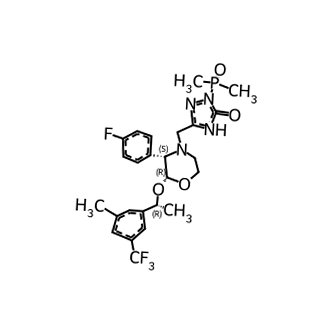 Cc1cc([C@@H](C)O[C@H]2OCCN(Cc3nn(P(C)(C)=O)c(=O)[nH]3)[C@H]2c2ccc(F)cc2)cc(C(F)(F)F)c1